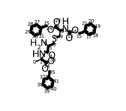 C[C@@H](NC(=O)[C@H](N)CSC[C@H](NC(=O)OCc1ccccc1)C(=O)OCc1ccccc1)C(=O)OCc1ccccc1